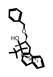 CC(C)(C)C(C)(O[SiH3])[C@](C)(O)[C@@H](COCc1ccccc1)Cc1cccc2ccccc12